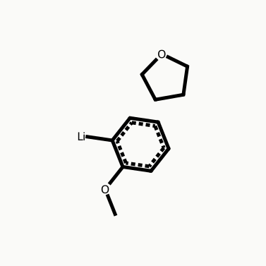 C1CCOC1.[Li][c]1ccccc1OC